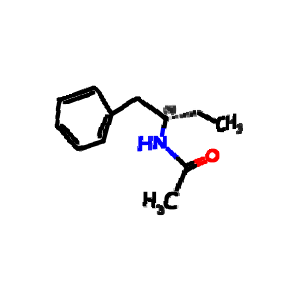 CC[C@@H](Cc1ccccc1)NC(C)=O